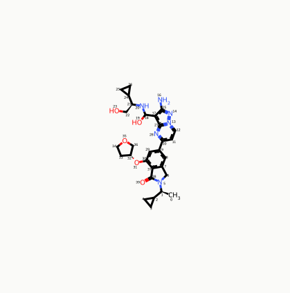 C[C@@H](C1CC1)N1Cc2cc(-c3ccn4nc(N)c(C(O)N[C@@H](CO)C5CC5)c4n3)cc(O[C@@H]3CCOC3)c2C1=O